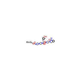 COCCOC(=O)CN1CCN(C2CCN(C(=O)[C@@H](Cc3cc(C)c(O)c(C)c3)OC(=O)N3CCC(N4CCc5ccccc5NC4=O)CC3)CC2)CC1